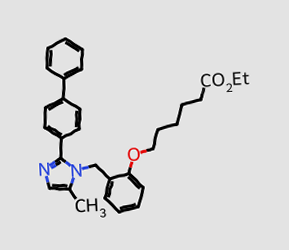 CCOC(=O)CCCCCOc1ccccc1Cn1c(C)cnc1-c1ccc(-c2ccccc2)cc1